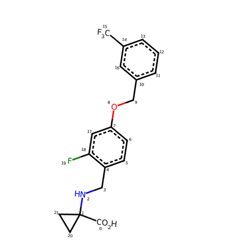 O=C(O)C1(NCc2ccc(OCc3cccc(C(F)(F)F)c3)cc2F)CC1